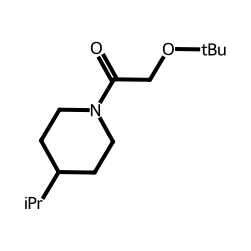 CC(C)C1CCN(C(=O)COC(C)(C)C)CC1